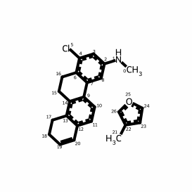 CNc1cc(Cl)c2c(c1)-c1ccc3c(c1CC2)CCC=C3.Cc1ccoc1